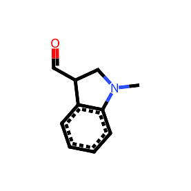 CN1CC(C=O)c2ccccc21